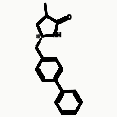 CC1C[C@@H](Cc2ccc(-c3ccccc3)cc2)NC1=O